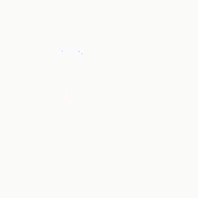 O=C(O)c1ccc(Oc2cnns2)cc1